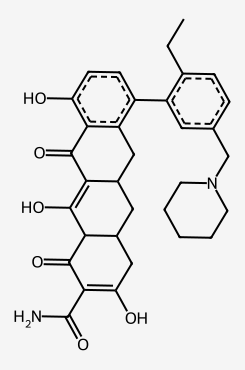 CCc1ccc(CN2CCCCC2)cc1-c1ccc(O)c2c1CC1CC3CC(O)=C(C(N)=O)C(=O)C3C(O)=C1C2=O